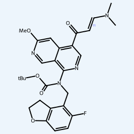 COc1cc2c(C(=O)/C=C/N(C)C)cnc(N(Cc3c(F)ccc4c3CCO4)C(=O)OC(C)(C)C)c2cn1